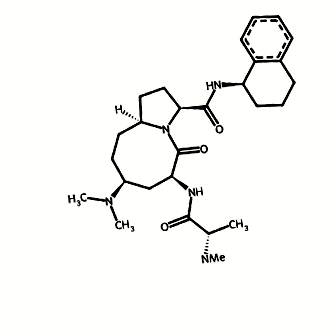 CN[C@@H](C)C(=O)N[C@H]1C[C@@H](N(C)C)CC[C@H]2CC[C@@H](C(=O)N[C@@H]3CCCc4ccccc43)N2C1=O